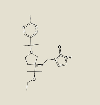 CCOC(C)(C)[C@]1(CCn2cc[nH]c2=O)CCN(C(C)(C)c2ccc(C)nc2)C1